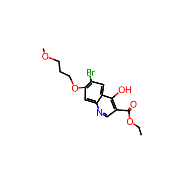 CCOC(=O)c1cnc2cc(OCCCOC)c(Br)cc2c1O